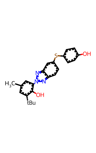 Cc1cc(-n2nc3ccc(Sc4ccc(O)cc4)cc3n2)c(O)c(C(C)(C)C)c1